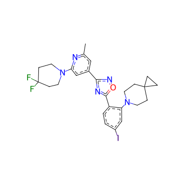 Cc1cc(-c2noc(-c3ccc(I)cc3N3CCC4(CC3)CC4)n2)cc(N2CCC(F)(F)CC2)n1